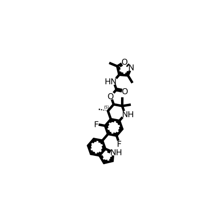 Cc1noc(C)c1NC(=O)OC1[C@@H](C)c2c(cc(F)c(-c3cccc4cc[nH]c34)c2F)NC1(C)C